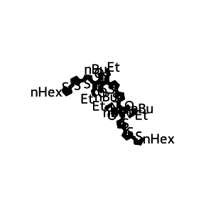 CCCCCCc1ccc(-c2ccc(-c3ccc(C4=C5C(=O)N(CC(CC)CCCC)C(c6ccc(-c7ccc(C8=C9C(=O)N(CC(CC)CCCC)C(c%10ccc(-c%11ccc(-c%12ccc(CCCCCC)s%12)s%11)s%10)=C9C(=O)N8CC(CC)CCCC)s7)s6)=C5C(=O)N4CC(CC)CCCC)s3)s2)s1